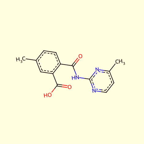 Cc1ccc(C(=O)Nc2nccc(C)n2)c(C(=O)O)c1